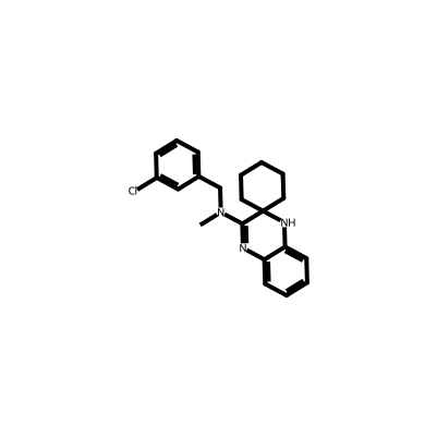 CN(Cc1cccc(Cl)c1)C1=Nc2ccccc2NC12CCCCC2